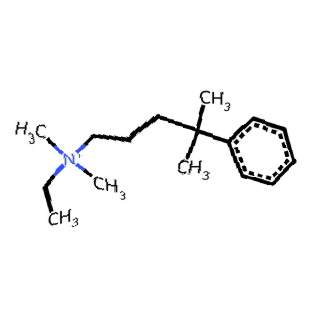 CC[N+](C)(C)CCCC(C)(C)c1ccccc1